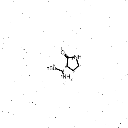 CCCCCN.O=C1CCCN1